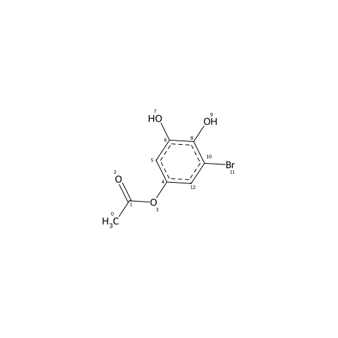 CC(=O)Oc1cc(O)c(O)c(Br)c1